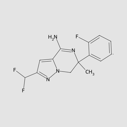 CC1(c2c[c]ccc2F)Cn2nc(C(F)F)cc2C(N)=N1